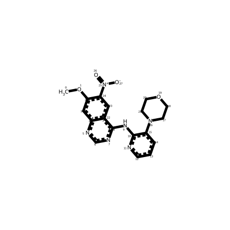 COc1cc2ncnc(Nc3ncccc3N3CCOCC3)c2cc1[N+](=O)[O-]